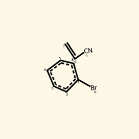 Brc1ccccc1.C=CC#N